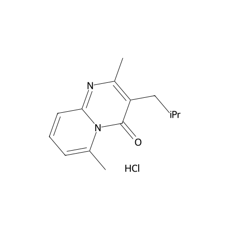 Cc1nc2cccc(C)n2c(=O)c1CC(C)C.Cl